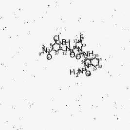 CN(C)C(=O)c1cc(Cl)c(F)c(CNC(=O)[C@@H]2C[C@@H](F)CN2C(=O)Nc2cn(C(N)=O)c3ccccc23)c1